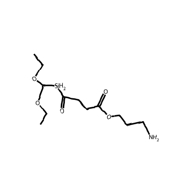 CCOC(OCC)[SiH2]C(=O)CCC(=O)OCCCN